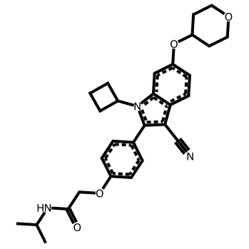 CC(C)NC(=O)COc1ccc(-c2c(C#N)c3ccc(OC4CCOCC4)cc3n2C2CCC2)cc1